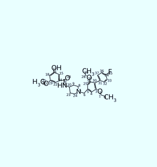 CCOc1cc(CN2CCC(NC(=O)c3cc(O)cc(OC)c3)CC2)cc(OCC)c1-c1ccc(F)cc1